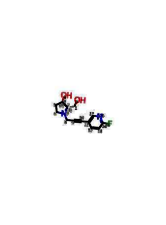 OC[C@H]1[C@H](O)CCN1CC#Cc1ccc(F)nc1